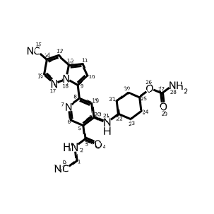 N#CCNC(=O)c1cnc(-c2ccc3cc(C#N)cnn23)cc1NC1CCC(OC(N)=O)CC1